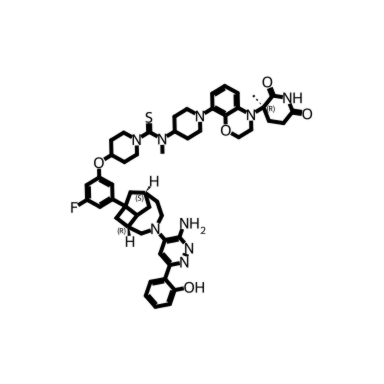 CN(C(=S)N1CCC(Oc2cc(F)cc(C34C[C@H]5CCN(c6cc(-c7ccccc7O)nnc6N)C[C@H](C3)C4C5)c2)CC1)C1CCN(c2cccc3c2OCCN3[C@]2(C)CCC(=O)NC2=O)CC1